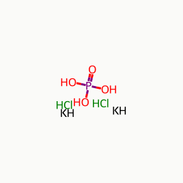 Cl.Cl.O=P(O)(O)O.[KH].[KH]